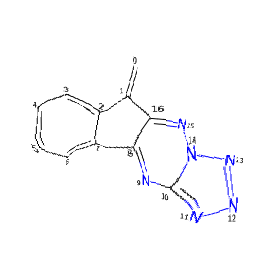 C=c1c2ccccc2c2nc3nnnn3nc12